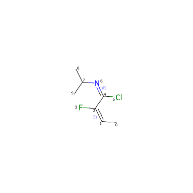 C/C=C(F)\C(Cl)=N/C(C)C